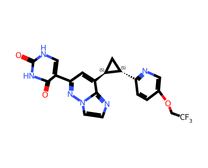 O=c1[nH]cc(-c2cc([C@H]3C[C@@H]3c3ccc(OCC(F)(F)F)cn3)c3nccn3n2)c(=O)[nH]1